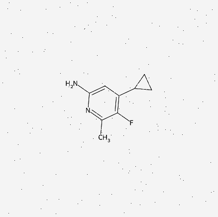 Cc1nc(N)cc(C2CC2)c1F